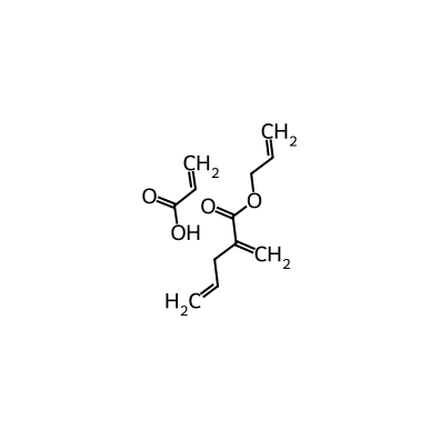 C=CC(=O)O.C=CCOC(=O)C(=C)CC=C